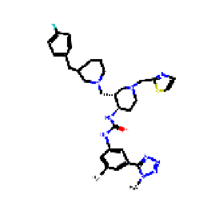 Cc1cc(NC(=O)N[C@@H]2CCN(Cc3nccs3)C[C@H]2CN2CCCC(Cc3ccc(F)cc3)C2)cc(-c2nnnn2C)c1